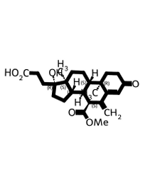 C=C1C2=CC(=O)CC[C@]2(C)[C@H]2CC[C@@]3(C)[C@@H](CC[C@@]3(O)CCC(=O)O)[C@@H]2[C@@H]1C(=O)OC